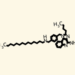 CCCCCCCCCCCCCCNCc1ccc(Cn2c(CCCC)nc3c(N)nc4ccccc4c32)cc1